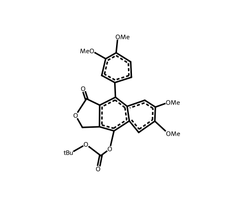 COc1ccc(-c2c3c(c(OC(=O)OC(C)(C)C)c4cc(OC)c(OC)cc24)COC3=O)cc1OC